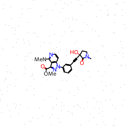 CNc1nccc2c1c(C(=O)OC)nn2-c1cccc(C#C[C@]2(O)CCN(C)C2=O)c1